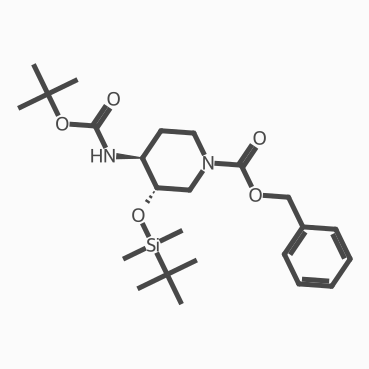 CC(C)(C)OC(=O)N[C@H]1CCN(C(=O)OCc2ccccc2)C[C@@H]1O[Si](C)(C)C(C)(C)C